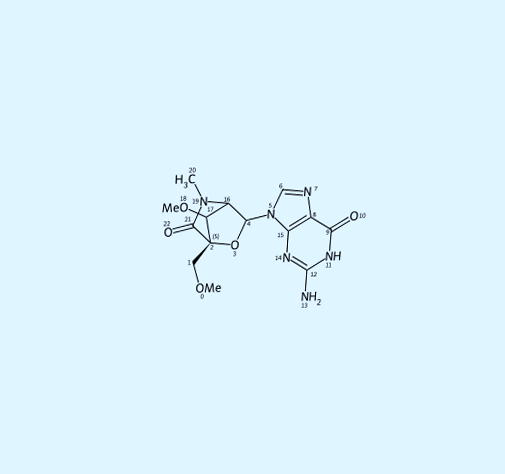 COC[C@]12OC(n3cnc4c(=O)[nH]c(N)nc43)C(C1OC)N(C)C2=O